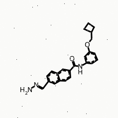 NN=Cc1ccc2cc(C(=O)Nc3cccc(OCC4CCC4)c3)ccc2c1